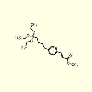 CCO[Si](CCCOc1ccc(/C=C/C(=O)OC)cc1)(OCC)OCC